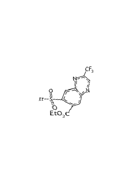 CCOC(=O)c1cc2ncc(C(F)(F)F)nc2cc1S(=O)(=O)CC